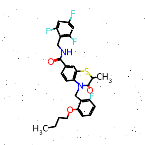 CCCCOc1cccc(F)c1CN1C(=O)C(C)Sc2cc(C(=O)NCc3c(F)cc(F)cc3F)ccc21